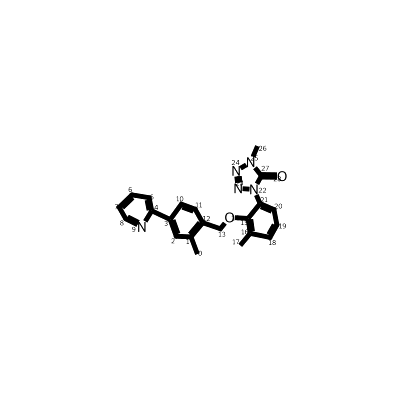 Cc1cc(-c2ccccn2)ccc1COc1c(C)cccc1-n1nnn(C)c1=O